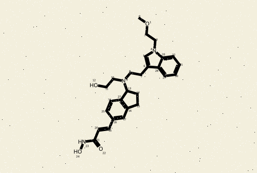 COCCn1cc(CCN(CCO)C2CCc3cc(C=CC(=O)NO)ccc32)c2ccccc21